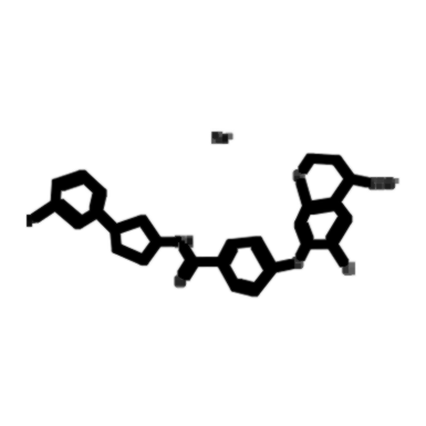 O=C(NC1CCC(c2cccc(F)c2)C1)c1ccc(Oc2cc3c(cc2Cl)C(C(=O)[O-])CCO3)cc1.[Na+]